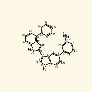 Nc1cncc(-c2cc3c(-c4nc5c(-c6ccncc6)cccc5[nH]4)n[nH]c3cn2)c1